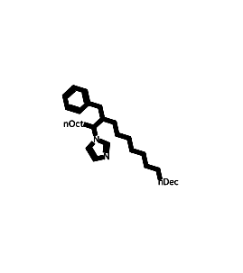 CCCCCCCCCCCCCCCCCC(Cc1ccccc1)C(CCCCCCCC)n1ccnc1